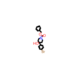 O=C(OCc1ccccc1)N1CCC(O)(c2ccc(Br)cc2)CC1